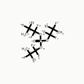 CCC(C)(F)C(F)(F)OP(=O)(OC(F)(F)C(C)(F)CC)OC(F)(F)C(C)(F)CC